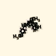 COc1ccc(CCNc2cc(-c3ccc[nH]c3=O)nc(OC)n2)cc1